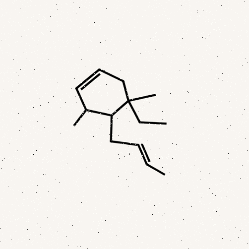 CC=CCC1C(C)C=CCC1(C)CC